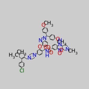 COc1ccc(C(c2ccc(OC)cc2)n2cnc3c(Oc4cc(N5CCN(CC6=C(c7ccc(Cl)cc7)CC(C)(C)CC6)CC5)ccc4C(=O)NS(=O)(=O)c4ccc(NC5CCN(C)CC5)c([N+](=O)[O-])c4)cccc32)cc1